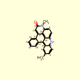 Cc1ccc2nc3ccc4c5c(cc(=O)n4C)c4ccccc4c(c2c1)c35